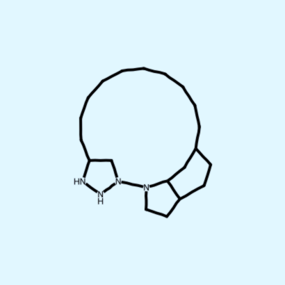 C1CCCCCC2CN(NN2)N2CCC3CCC(CCCC1)CC32